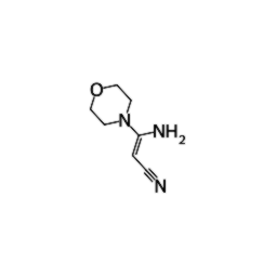 N#CC=C(N)N1CCOCC1